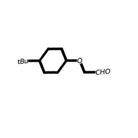 CC(C)(C)C1CCC(OCC=O)CC1